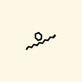 C1CCCCC1.C=CCCCCCCCCCC